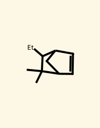 CCC1C2C=CC(C2)C1(C)C